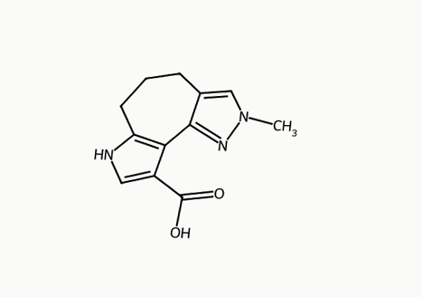 Cn1cc2c(n1)-c1c(C(=O)O)c[nH]c1CCC2